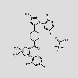 Cc1cc(C2CCN(C(=O)[C@@H]3C[C@@](C)(N)C[C@H]3c3ccc(F)cc3F)CC2)n(-c2cc(Cl)ccc2Cl)n1.O=C(O)C(F)(F)F